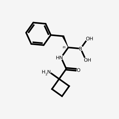 NC1(C(=O)N[C@@H](Cc2ccccc2)B(O)O)CCC1